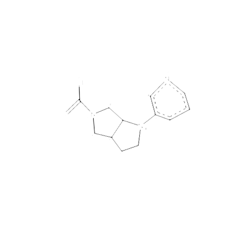 O=C(O)N1CC2CCN(c3cccnc3)C2C1